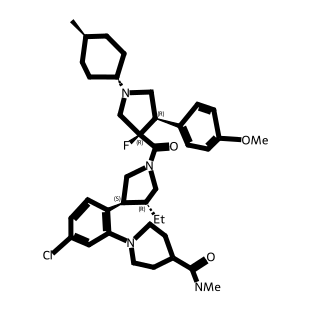 CC[C@H]1CN(C(=O)[C@]2(F)CN([C@H]3CC[C@H](C)CC3)C[C@H]2c2ccc(OC)cc2)C[C@@H]1c1ccc(Cl)cc1N1CCC(C(=O)NC)CC1